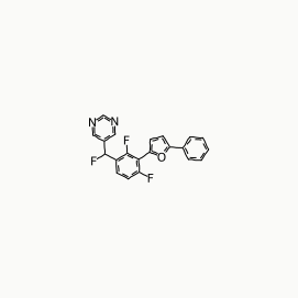 Fc1ccc(C(F)c2cncnc2)c(F)c1-c1ccc(-c2ccccc2)o1